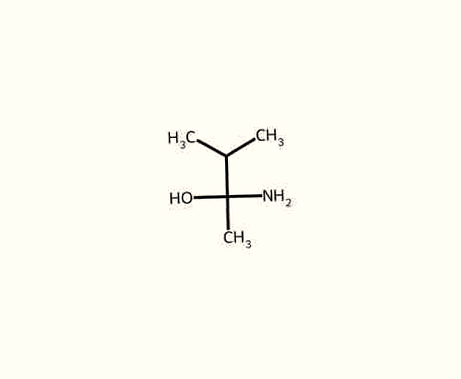 CC(C)C(C)(N)O